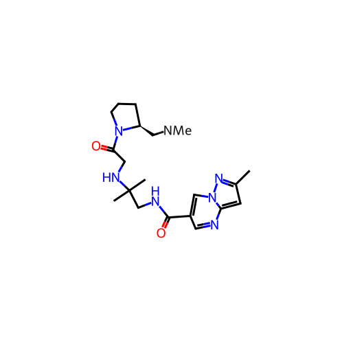 CNC[C@@H]1CCCN1C(=O)CNC(C)(C)CNC(=O)c1cnc2cc(C)nn2c1